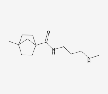 CNCCCNC(=O)C12CCC(C)(CC1)C2